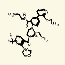 CCOc1ncccc1-c1ccc(N2CCN(C(=O)c3ccc(C(F)(F)F)nc3N3CCOCC3)C[C@H]2CC)c(C(=O)NCCN)c1